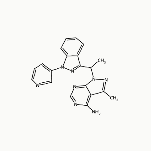 Cc1nn(C(C)c2nn(-c3cccnc3)c3ccccc23)c2ncnc(N)c12